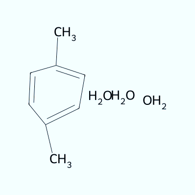 Cc1ccc(C)cc1.O.O.O